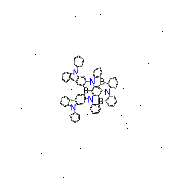 c1ccc(-n2c3ccccc3c3cc4c(cc32)N2c3ccccc3B3c5ccccc5N5c6ccccc6B6c7ccccc7N7c8cc9c(cc8B4c4c2c3c5c6c47)c2ccccc2n9-c2ccccc2)cc1